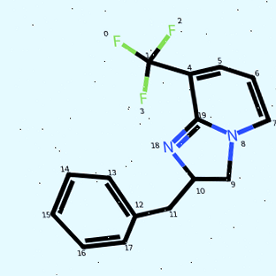 FC(F)(F)C1=CC=CN2CC(Cc3ccccc3)N=C12